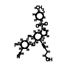 Cc1ccc(S(=O)(=O)n2ccc3c(C#CCCO)c(Oc4ccc(F)c(C#N)c4)c(F)cc32)cc1